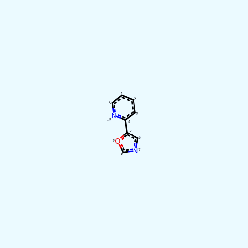 [c]1cccc(-c2cnco2)n1